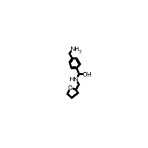 NCc1ccc(C(O)NCC2CCCO2)cc1